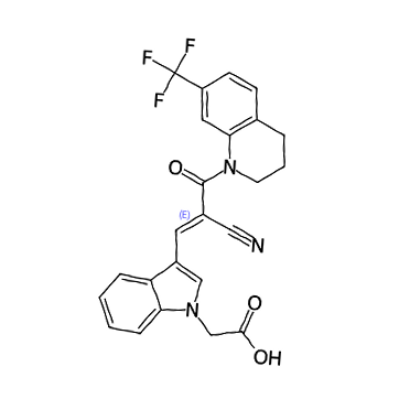 N#C/C(=C\c1cn(CC(=O)O)c2ccccc12)C(=O)N1CCCc2ccc(C(F)(F)F)cc21